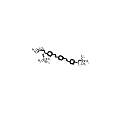 CCN(C[N+](C)(C)C)c1ccc(/C=C/c2ccc(/C=C/c3ccc(N(C[I-][N+](C)(C)C)C[I-][N+](C)(C)C)cc3)cc2)cc1